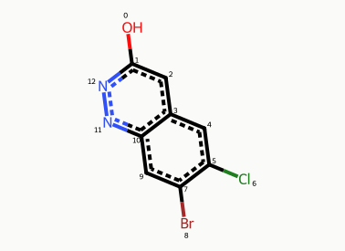 Oc1cc2cc(Cl)c(Br)cc2nn1